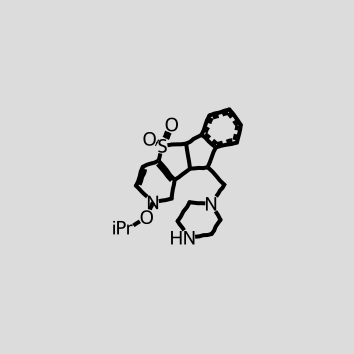 CC(C)ON1C=CC2=C(C1)C1C(CN3CCNCC3)c3ccccc3C1S2(=O)=O